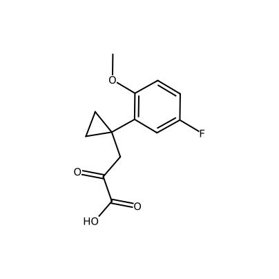 COc1ccc(F)cc1C1(CC(=O)C(=O)O)CC1